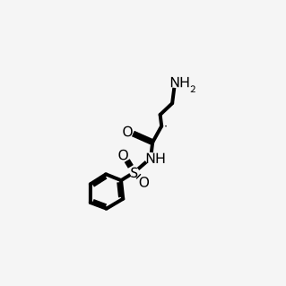 NCC[CH]C(=O)NS(=O)(=O)c1ccccc1